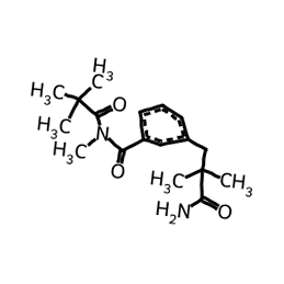 CN(C(=O)c1cccc(CC(C)(C)C(N)=O)c1)C(=O)C(C)(C)C